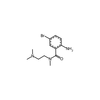 CN(C)CCN(C)C(=O)c1cc(Br)ccc1N